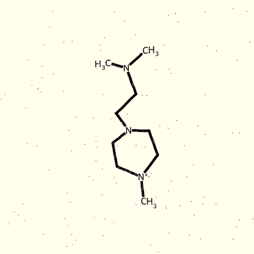 CN(C)CCN1CC[N+](C)CC1